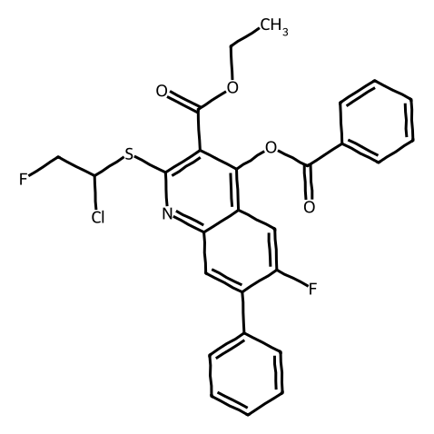 CCOC(=O)c1c(SC(Cl)CF)nc2cc(-c3ccccc3)c(F)cc2c1OC(=O)c1ccccc1